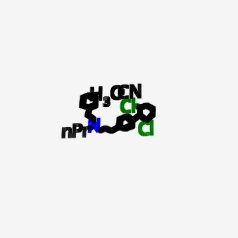 CC#N.CCCN(CCCc1ccc(C2C(Cl)CCCC2Cl)cc1)CCc1ccccc1